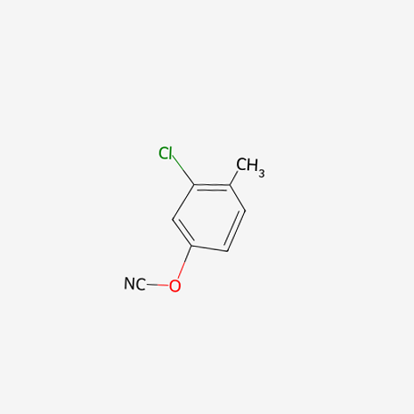 Cc1ccc(OC#N)cc1Cl